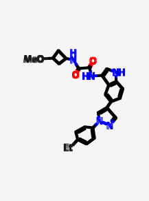 CCc1ccc(-n2cc(-c3ccc4[nH]cc(NC(=O)C(=O)NC5CC(OC)C5)c4c3)cn2)cc1